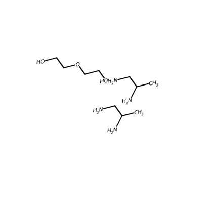 CC(N)CN.CC(N)CN.OCCOCCO